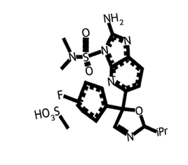 CC(C)C1N=CC(c2ccc(F)cc2)(c2ccc3nc(N)n(S(=O)(=O)N(C)C)c3n2)O1.CS(=O)(=O)O